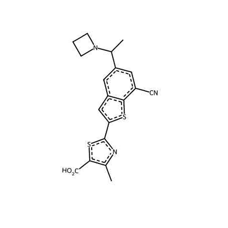 Cc1nc(-c2cc3cc(C(C)N4CCC4)cc(C#N)c3s2)sc1C(=O)O